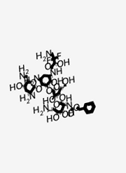 NC[C@@H]1O[C@H](O[C@H]2[C@@H](O)[C@H](O[C@@H]3[C@@H](O)[C@H](NC(=O)[C@@H](O)C(F)(F)CN)C[C@H](N)[C@H]3O[C@H]3O[C@H](CN)[C@@H](O)C[C@H]3N)O[C@@H]2CO)[C@H](NC(=O)OCc2ccccc2)[C@@H](O)[C@@H]1O